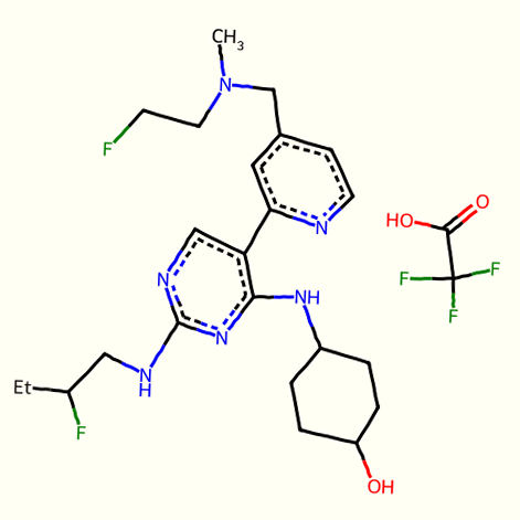 CCC(F)CNc1ncc(-c2cc(CN(C)CCF)ccn2)c(NC2CCC(O)CC2)n1.O=C(O)C(F)(F)F